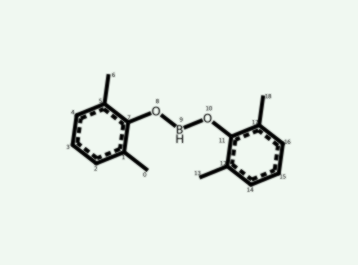 Cc1cccc(C)c1OBOc1c(C)cccc1C